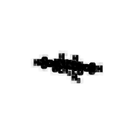 Cc1c(C=C/C=c2/c(C)c3c([nH]c2=O)=NN(c2ccc(S(=O)(=O)O)cc2)C3=O)c(O)[nH]c2nn(-c3ccc(S(=O)(=O)O)cc3)c(=O)c1-2